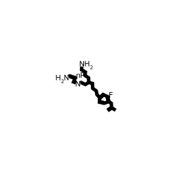 C=C(C)Cc1ccc(CCCCC(CCCCN)CC/N=C\C(=C/N)CCC)cc1F